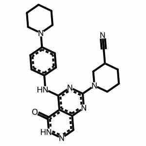 N#CC1CCCN(c2nc(Nc3ccc(N4CCCCC4)cc3)c3c(=O)[nH]ncc3n2)C1